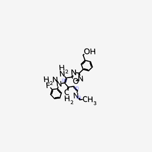 C=C(/C=C\N=C/C)/C(=C(/N)c1nc(-c2cccc(CO)c2)no1)N(N)c1ccccc1F